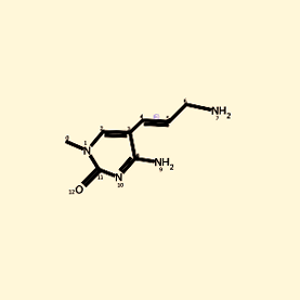 Cn1cc(/C=C/CN)c(N)nc1=O